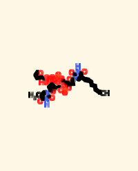 C#CCCCCC#Cc1cn([C@H]2C[C@@H](OP(=O)(O)OC[C@H]3O[C@@H](n4cc(C)c(=O)[nH]c4=O)C[C@H]3OP(=O)(O)OC[C@@H]3CCCO3)[C@@H](COP(=O)(O)O)O2)c(=O)[nH]c1=O